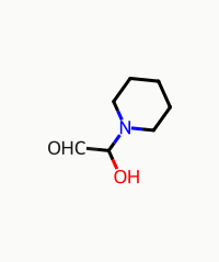 O=CC(O)N1CCCCC1